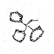 IC=P(c1ccccc1)(c1ccccc1)c1ccccc1